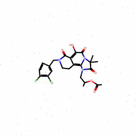 CC(=O)OC(C)CN1C(=O)C(C)(C)n2c1c1c(c(O)c2=O)C(=O)N(Cc2ccc(F)c(Cl)c2)CC1